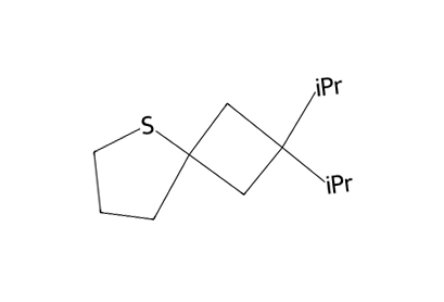 CC(C)C1(C(C)C)CC2(CCCS2)C1